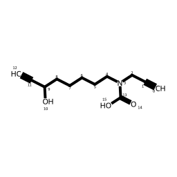 C#CCN(CCCCCC(O)C#C)C(=O)O